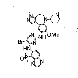 COc1cc2c(cc1Nc1ncc(Br)c(Nc3ccc4nccnc4c3P(C)(C)=O)n1)-c1cnn(C)c1CCN2C1CCCN(C)C1